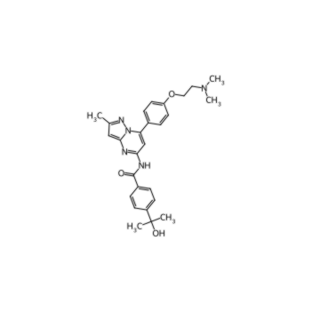 Cc1cc2nc(NC(=O)c3ccc(C(C)(C)O)cc3)cc(-c3ccc(OCCN(C)C)cc3)n2n1